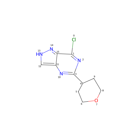 Clc1nc(C2CCOCC2)nc2c[nH]nc12